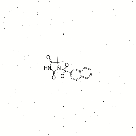 CC1(C)C(=O)NC(=O)N1S(=O)(=O)c1ccc2ccccc2c1